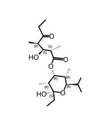 CCC(=O)[C@H](C)[C@H](O)[C@H](C)C(=O)O[C@@H]1[C@H](C)[C@@H](C(C)C)O[C@@](O)(CC)[C@@H]1C